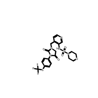 O=C1CN(Cc2ccncc2NS(=O)(=O)N2CCOCC2)C(=O)N1c1ccc(SC(F)(F)F)cc1